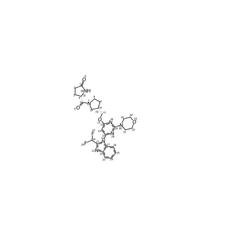 O=C1CC[C@@H](C(=O)N2CC[C@H](COc3cc(-n4c(C(F)F)nc5ccccc54)nc(N4CCOCC4)n3)C2)N1